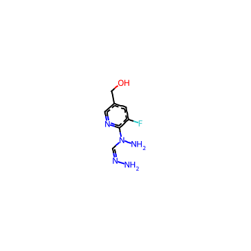 N/N=C\N(N)c1ncc(CO)cc1F